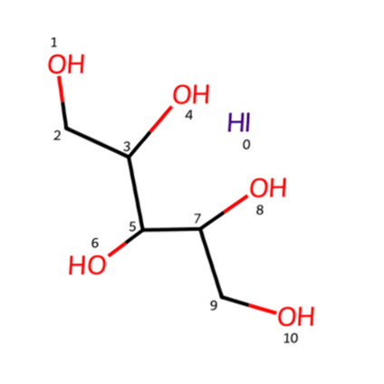 I.OCC(O)C(O)C(O)CO